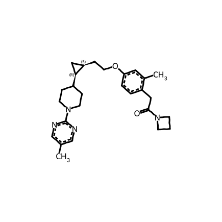 Cc1cnc(N2CCC([C@H]3C[C@H]3CCOc3ccc(CC(=O)N4CCC4)c(C)c3)CC2)nc1